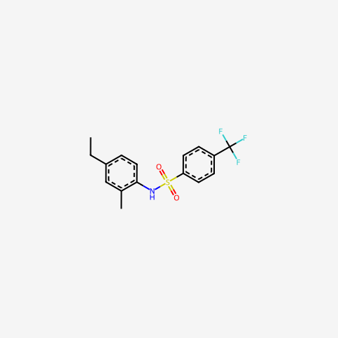 CCc1ccc(NS(=O)(=O)c2ccc(C(F)(F)F)cc2)c(C)c1